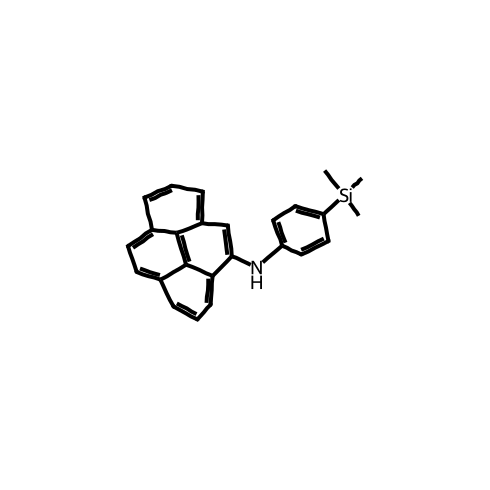 C[Si](C)(C)c1ccc(Nc2cc3cccc4ccc5cccc2c5c43)cc1